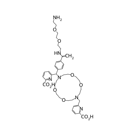 C=C(NCCOCCOCCN)c1ccc(C(c2cccc(C(=O)O)n2)N2CCOCCOCCN(Cc3cccc(C(=O)O)n3)CCOCCOCC2)cc1